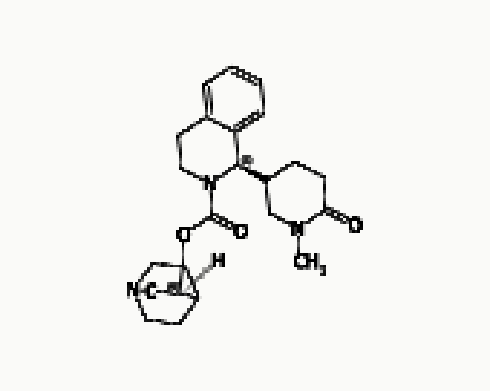 CN1CC([C@@H]2c3ccccc3CCN2C(=O)O[C@@H]2CN3CCC2CC3)CCC1=O